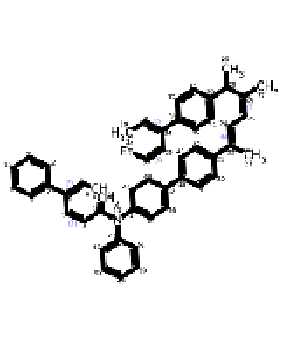 C=C(/C=C\C(=C/C)c1ccccc1)N(C1=CC=C(c2ccc(/C(C)=C/C=C(/C)C(C)c3ccc(C(/C=C\CC)=C/C)cc3)cc2)CC1)c1ccccc1